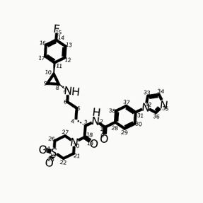 O=C(N[C@@H](CCCN[C@@H]1C[C@H]1c1ccc(F)cc1)C(=O)N1CCS(=O)(=O)CC1)c1ccc(-n2ccnc2)cc1